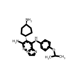 CC(C)Oc1ccc(Nc2c3nccn3nc(N)c2[C@H]2CC[C@H](N)CC2)cc1